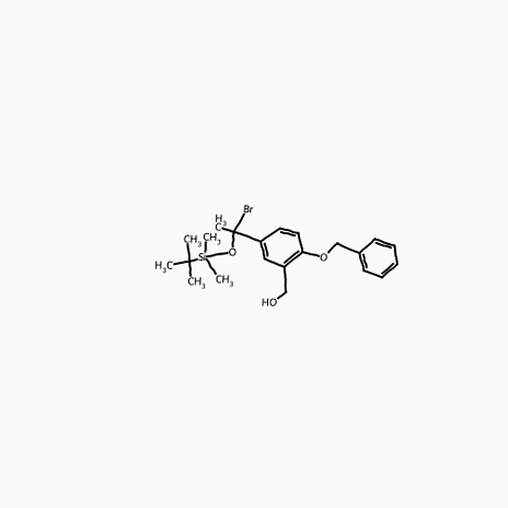 CC(Br)(O[Si](C)(C)C(C)(C)C)c1ccc(OCc2ccccc2)c(CO)c1